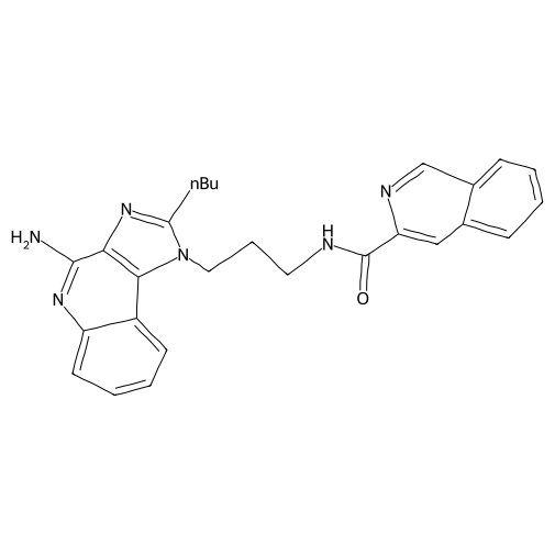 CCCCc1nc2c(N)nc3ccccc3c2n1CCCNC(=O)c1cc2ccccc2cn1